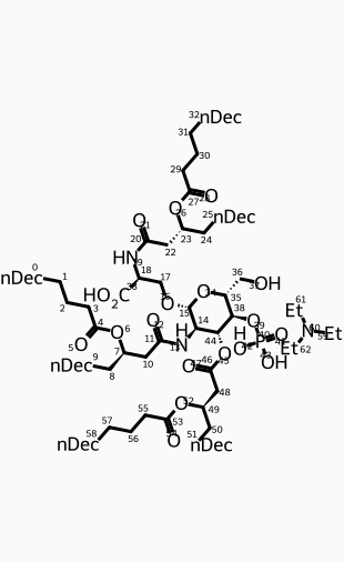 CCCCCCCCCCCCCC(=O)O[C@H](CCCCCCCCCCC)CC(=O)N[C@H]1[C@H](OC[C@H](NC(=O)C[C@@H](CCCCCCCCCCC)OC(=O)CCCCCCCCCCCCC)C(=O)O)O[C@H](CO)[C@@H](OP(=O)(O)O)[C@@H]1OC(=O)C[C@@H](CCCCCCCCCCC)OC(=O)CCCCCCCCCCCCC.CCN(CC)CC